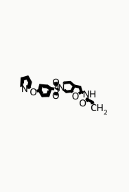 C=CC(=O)NC1CC2CCN(S(=O)(=O)c3ccc(Oc4ccccn4)cc3)CC2O1